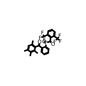 Cc1cc(C)c(C(=O)c2ccccc2[P](=O)C(=O)c2c(C(F)(F)F)cccc2C(F)(F)F)c(C)c1C